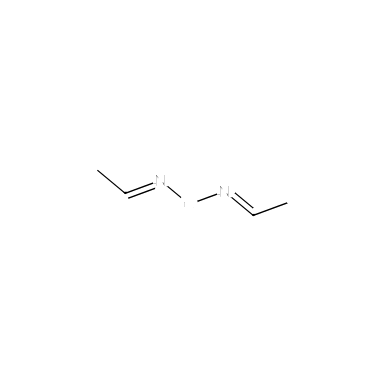 CC=NON=CC